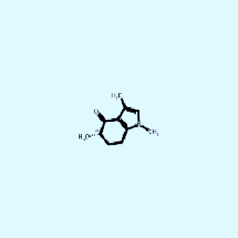 Cc1cn(C)c2c1C(=O)[C@@H](C)CC2